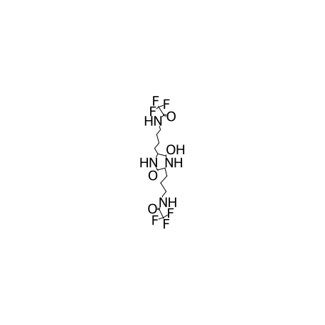 O=C1NC(CCCCNC(=O)C(F)(F)F)C(O)NC1CCCCNC(=O)C(F)(F)F